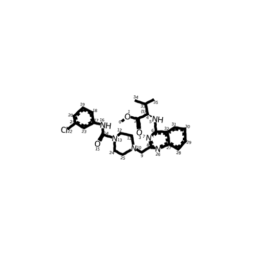 COC(=O)[C@@H](Nc1nc(CN2CCN(C(=O)Nc3cccc(Cl)c3)CC2)nc2ccccc12)C(C)C